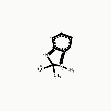 C[N+]1=c2ccccc2=NC1(C)C